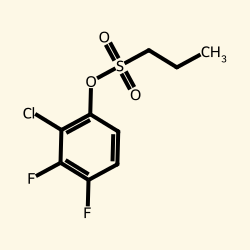 CCCS(=O)(=O)Oc1ccc(F)c(F)c1Cl